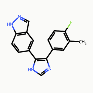 Cc1cc(-c2nc[nH]c2-c2ccc3[nH]ncc3c2)ccc1F